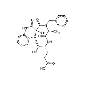 C[C@@H](C(=O)N[C@H](CCC(=O)O)C(N)=O)N(Cc1ccccc1)C(=O)C1(C)Oc2ccccc2NC1=O